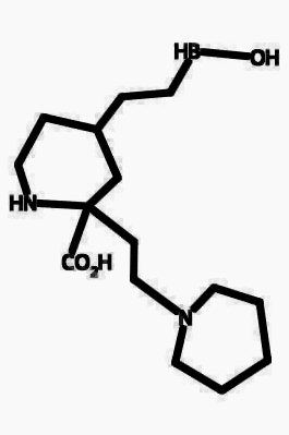 O=C(O)C1(CCN2CCCCC2)CC(CCBO)CCN1